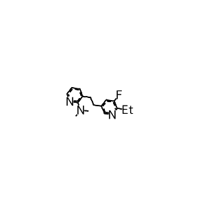 CCc1ncc(CCc2cccnc2N(C)C)cc1F